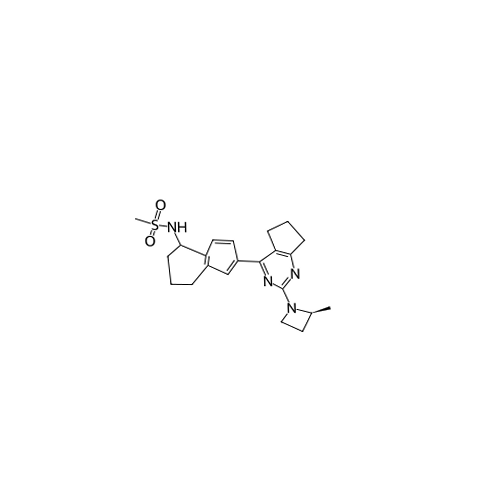 C[C@H]1CCN1c1nc2c(c(-c3ccc4c(c3)CCCC4NS(C)(=O)=O)n1)CCC2